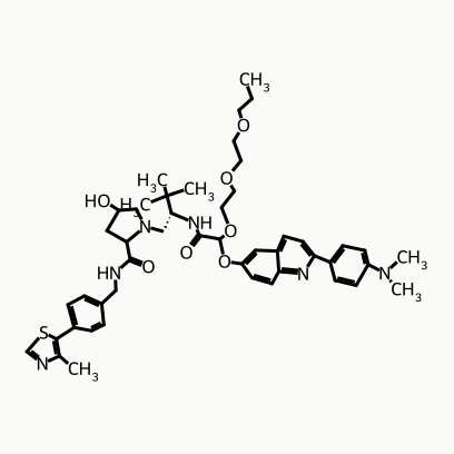 CCCOCCOCCOC(Oc1ccc2nc(-c3ccc(N(C)C)cc3)ccc2c1)C(=O)N[C@H](CN1CC(O)CC1C(=O)NCc1ccc(-c2scnc2C)cc1)C(C)(C)C